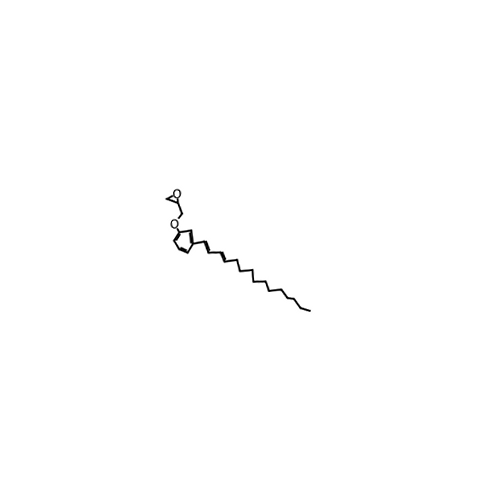 CCCCCCCCCCCC=CC=Cc1cccc(OCC2CO2)c1